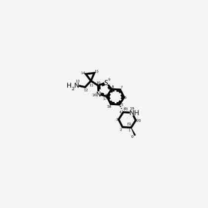 C[C@H]1CC[C@H](c2ccc3sc(C4(CN)CC4)nc3c2)NC1